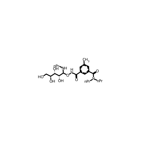 CCCNC(ONC(=O)c1cc(C)cc(C(=O)N(CCC)CCC)c1)[C@H](O)[C@@H](O)[C@@H](O)CO